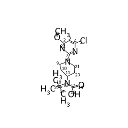 COc1cc(Cl)nc(N2CCC(N(C(=O)O)C(C)(C)C)CC2)n1